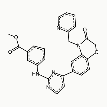 COC(=O)c1cccc(Nc2nccc(-c3ccc4c(c3)N(Cc3ccccn3)C(=O)CO4)n2)c1